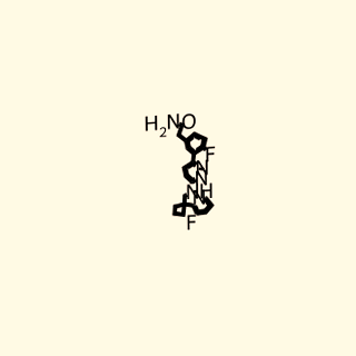 NC(=O)Cc1ccc(F)c(-c2ccc(NCC3(c4ncccc4F)CCC3)nn2)c1